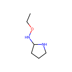 CCONC1CCCN1